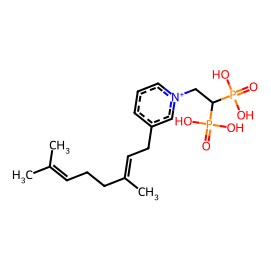 CC(C)=CCC/C(C)=C/Cc1ccc[n+](CC(P(=O)(O)O)P(=O)(O)O)c1